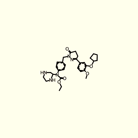 CCOC(=O)N(c1ccc(CN2N=C(c3ccc(OC)c(OC4CCCC4)c3)CCC2=O)cc1)C1CNCCN1